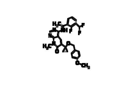 COc1ccc(COC2(c3cc4c(N[C@H](C)c5cccc(C(F)F)c5F)ncnc4n(C)c3=O)CC2)cc1